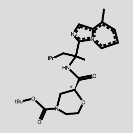 Cc1cccn2c(C(C)(CC(C)C)NC(=O)[C@@H]3CN(C(=O)OC(C)(C)C)CCO3)ncc12